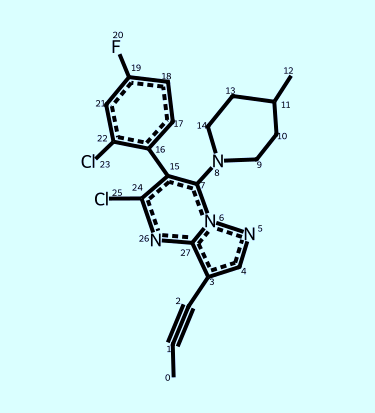 CC#Cc1cnn2c(N3CCC(C)CC3)c(-c3ccc(F)cc3Cl)c(Cl)nc12